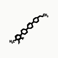 CCCC1CCC(C2C=CC(C3CCC(c4ccc(C)c(F)c4F)CC3)CC2)CC1